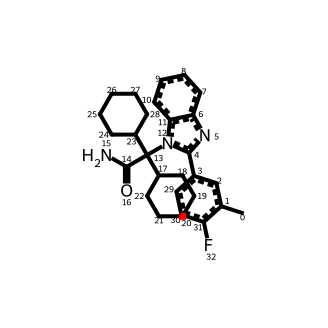 Cc1cc(-c2nc3ccccc3n2C(C(N)=O)(C2CCCCC2)C2CCCCC2)ccc1F